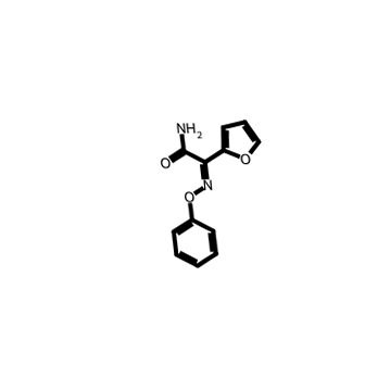 NC(=O)C(=NOc1ccccc1)c1ccco1